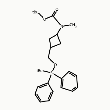 CN(C(=O)OC(C)(C)C)C1CC(CO[Si](c2ccccc2)(c2ccccc2)C(C)(C)C)C1